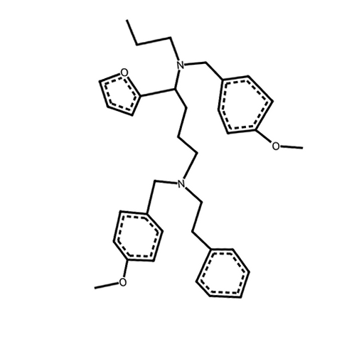 CCCN(Cc1ccc(OC)cc1)C(CCCN(CCc1ccccc1)Cc1ccc(OC)cc1)c1ccco1